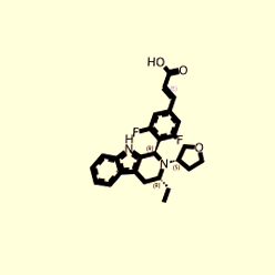 CC[C@@H]1Cc2c([nH]c3ccccc23)[C@@H](c2c(F)cc(/C=C/C(=O)O)cc2F)N1[C@H]1CCOC1